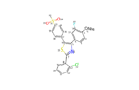 COc1ccc(-c2nc(-c3ccccc3Cl)sc2-c2ccc(S(C)(=O)=O)cc2)cc1F